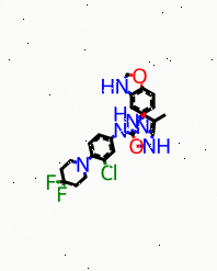 CC1=C2NOC(Nc3ccc(N4CCC(F)(F)CC4)c(Cl)c3)(N=C1)N2c1ccc2c(c1)NCO2